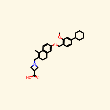 COc1cc(C2CCCCC2)ccc1COc1ccc2c(c1)CCC(CN1CC(C(=O)O)C1)=C2C